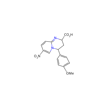 COc1ccc(C2CC(C(=O)O)N=C3C=CC([N+](=O)[O-])=CN32)cc1